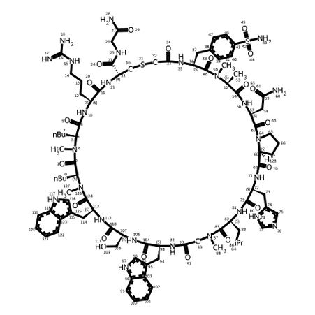 CCCC[C@H]1C(=O)N(C)[C@@H](CCCC)C(=O)N[C@@H](CCCNC(=N)N)C(=O)N[C@H](C(=O)NCC(N)=O)CSCC(=O)N[C@@H](Cc2ccc(S(N)(=O)=O)cc2)C(=O)N(C)[C@@H](C)C(=O)N[C@@H](CC(N)=O)C(=O)N2CCC[C@H]2C(=O)N[C@@H](Cc2cnc[nH]2)C(=O)N[C@@H](CC(C)C)C(=O)N(C)CC(=O)N[C@@H](Cc2c[nH]c3ccccc23)C(=O)N[C@@H](CO)C(=O)N[C@@H](Cc2c[nH]c3ccccc23)C(=O)N1C